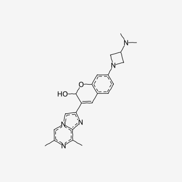 Cc1cn2cc(C3=Cc4ccc(N5CC(N(C)C)C5)cc4OC3O)nc2c(C)n1